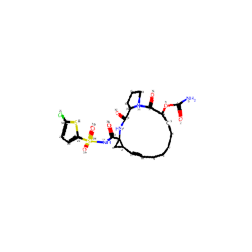 NC(=O)OC1CCCCCC=CC2CC2(C(=O)NS(=O)(=O)c2ccc(Cl)s2)NC(=O)C2CCCN2C1=O